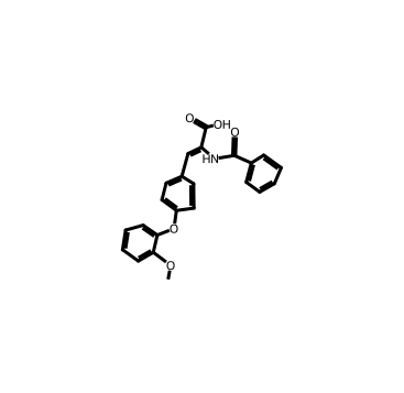 COc1ccccc1Oc1ccc(C=C(NC(=O)c2ccccc2)C(=O)O)cc1